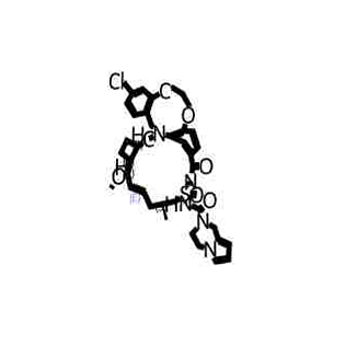 CO[C@H]1/C=C/C[C@H](C)CS(=O)(NC(=O)N2CCn3cccc3C2)=NC(=O)c2ccc3c(c2)N(Cc2ccc(Cl)cc2CCCCO3)C[C@@H]2CC[C@H]21